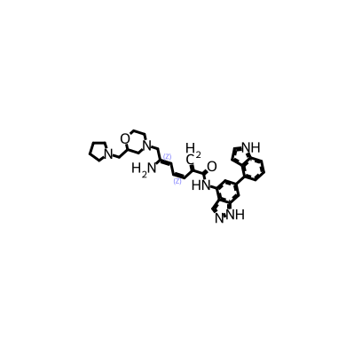 C=C(/C=C\C=C(/N)CN1CCOC(CN2CCCC2)C1)C(=O)Nc1cc(-c2cccc3[nH]ccc23)cc2[nH]ncc12